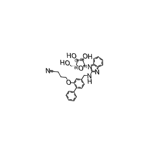 N#CCCCOc1cc(CNc2nc3ccccc3n2[C@@H]2O[C@H](CO)[C@@H](O)[C@H]2O)ccc1-c1ccccc1